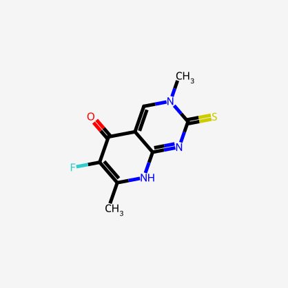 Cc1[nH]c2nc(=S)n(C)cc2c(=O)c1F